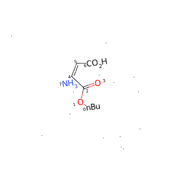 CCCCOC(=O)/C=C\C(=O)O.N